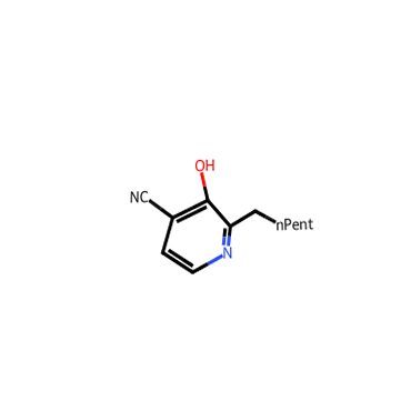 CCCCCCc1nccc(C#N)c1O